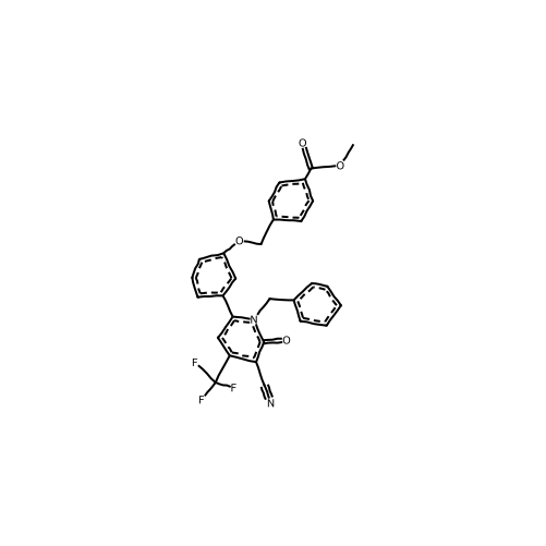 COC(=O)c1ccc(COc2cccc(-c3cc(C(F)(F)F)c(C#N)c(=O)n3Cc3ccccc3)c2)cc1